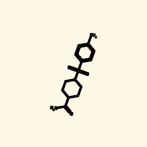 Cc1ccc(S(=O)(=O)N2CCC(C(N)=O)CC2)cc1